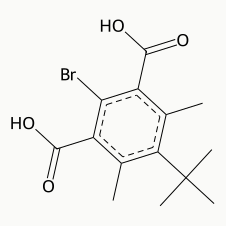 Cc1c(C(=O)O)c(Br)c(C(=O)O)c(C)c1C(C)(C)C